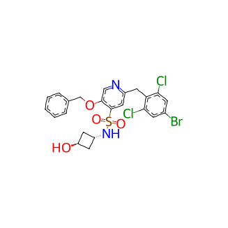 O=S(=O)(N[C@H]1C[C@H](O)C1)c1cc(Cc2c(Cl)cc(Br)cc2Cl)ncc1OCc1ccccc1